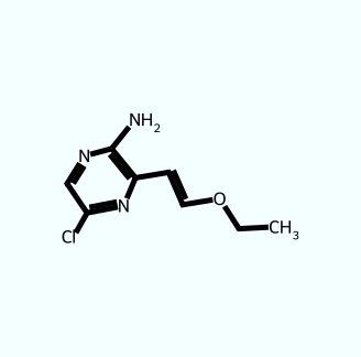 CCOC=Cc1nc(Cl)cnc1N